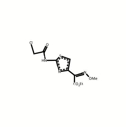 CCOC(=O)C(=NOC)c1csc(NC(=O)CCl)n1